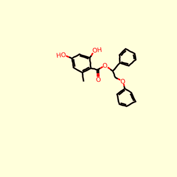 Cc1cc(O)cc(O)c1C(=O)OC(COc1ccccc1)c1ccccc1